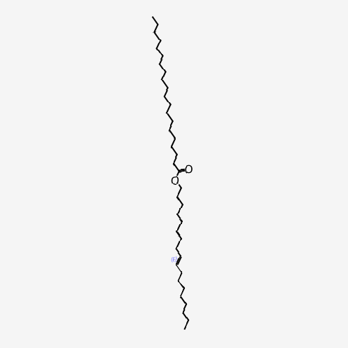 CCCCCCCC/C=C/CCCCCCCCOC(=O)CCCCCCCCCCCCCCCCCCC